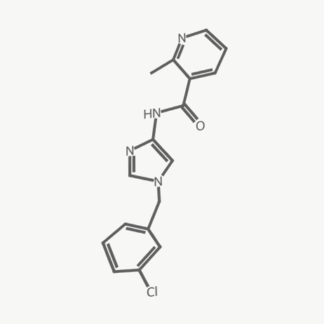 Cc1ncccc1C(=O)Nc1cn(Cc2cccc(Cl)c2)cn1